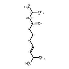 CC(C)/C=C/CCCC(=O)NC(C)C